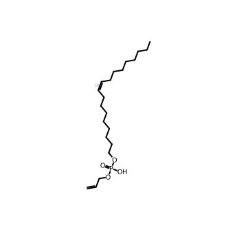 C=CCOP(=O)(O)OCCCCCCCC/C=C\CCCCCCCC